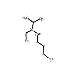 [CH2]C(C)N(CC)NCCCN